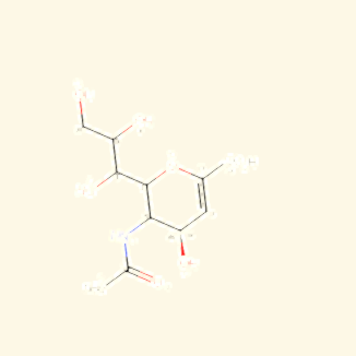 CCCCC(=O)NC1C(C(O)C(O)CO)OC(C(=O)O)=C[C@H]1O